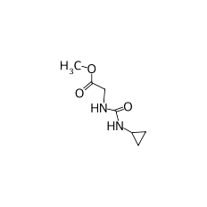 COC(=O)CNC(=O)NC1CC1